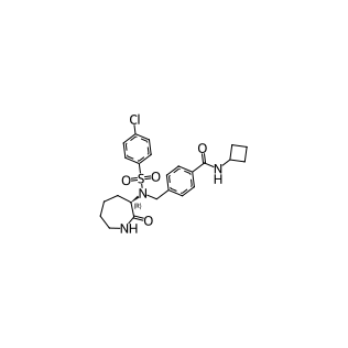 O=C(NC1CCC1)c1ccc(CN([C@@H]2CCCCNC2=O)S(=O)(=O)c2ccc(Cl)cc2)cc1